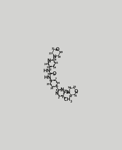 Cc1cnc(-c2ccc(NC(=O)Nc3ccc(N4CCOCC4)nc3)cc2)nc1N1CCOCC1